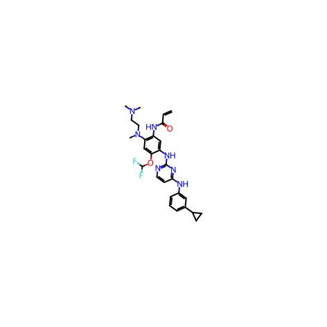 C=CC(=O)Nc1cc(Nc2nccc(Nc3cccc(C4CC4)c3)n2)c(OC(F)F)cc1N(C)CCN(C)C